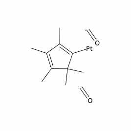 CC1=C(C)C(C)(C)[C]([Pt])=C1C.[C]=O.[C]=O